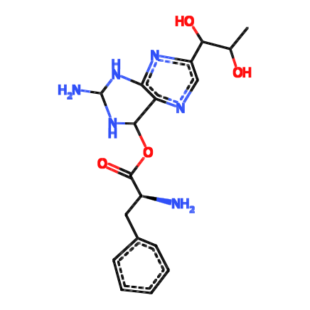 CC(O)C(O)c1cnc2c(n1)NC(N)NC2OC(=O)[C@@H](N)Cc1ccccc1